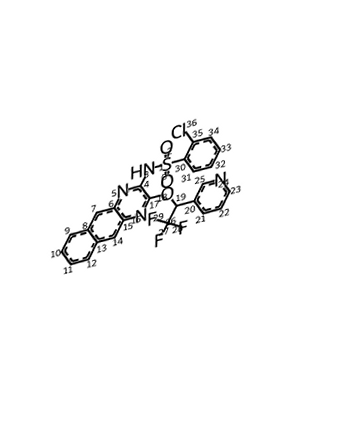 O=S(=O)(Nc1nc2cc3ccccc3cc2nc1OC(c1cccnc1)C(F)(F)F)c1ccccc1Cl